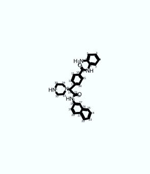 Nc1ccccc1NC(=O)c1ccc(C(C(=O)Nc2ccc3ccccc3c2)N2CCNCC2)cc1